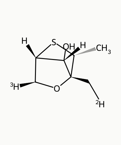 [2H]C[C@]12O[C@@H]([3H])[C@H](S[C@@H]1C)[C@@H]2O